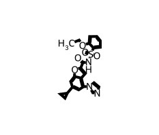 CCOc1ccccc1S(=O)(=O)NC(=O)c1cc2c(-n3ccnc3)cc(C3CC3)cc2o1